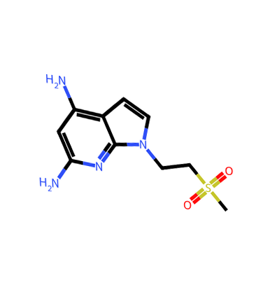 CS(=O)(=O)CCn1ccc2c(N)cc(N)nc21